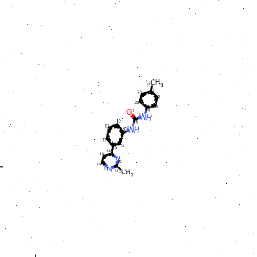 Cc1ccc(NC(=O)Nc2cccc(-c3ccnc(C)n3)c2)cc1